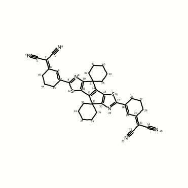 N#CC(C#N)=C1C=C(c2nc3c(s2)C2=C(c4sc(C5=CC(=C(C#N)C#N)CCC5)nc4C24CCCCC4)C32CCCCC2)CCC1